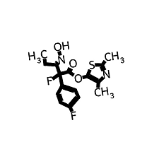 CCC(=NO)C(F)(C(=O)Oc1sc(C)nc1C)c1ccc(F)cc1